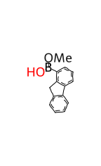 COB(O)c1cccc2c1Cc1ccccc1-2